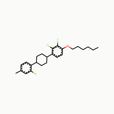 CCCCCCOc1ccc(C2CCC(c3ccc(C)cc3F)CC2)c(F)c1F